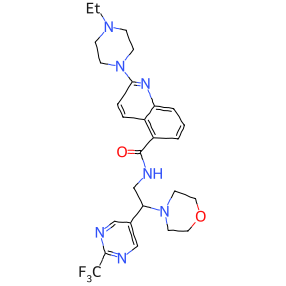 CCN1CCN(c2ccc3c(C(=O)NCC(c4cnc(C(F)(F)F)nc4)N4CCOCC4)cccc3n2)CC1